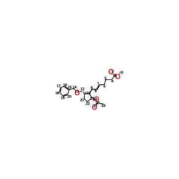 COC(=O)CCCC=CC[C@@H]1[C@@H](COCc2ccccc2)CC[C@@H]1OC(C)=O